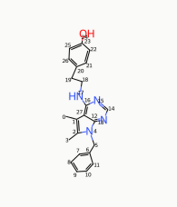 Cc1c(C)n(Cc2ccccc2)c2ncnc(NCCc3ccc(O)cc3)c12